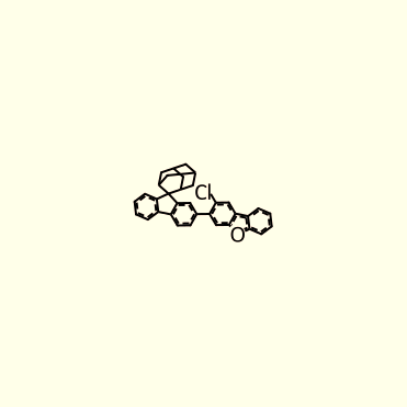 Clc1cc2c(cc1-c1ccc3c(c1)C1(c4ccccc4-3)C3CC4CC(C3)CC1C4)oc1ccccc12